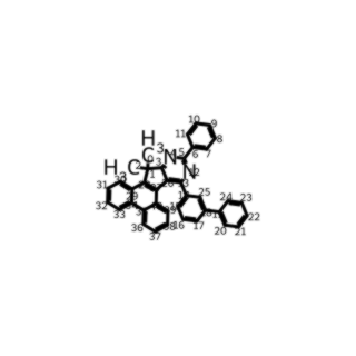 CC1(C)c2nc(-c3ccccc3)nc(-c3cccc(-c4ccccc4)c3)c2-c2c1c1ccccc1c1ccccc21